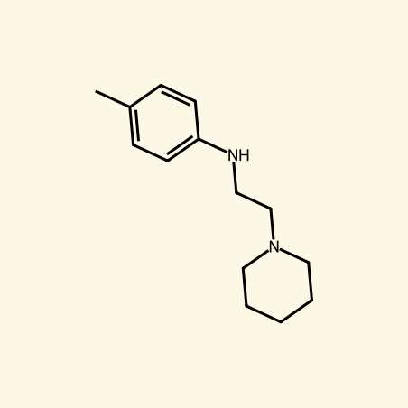 Cc1ccc(NCCN2CCCCC2)cc1